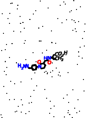 C=C[C@H](CC(=O)O)NC(=O)CC1CCCN(c2ccc(C=NN)cc2)C1=O